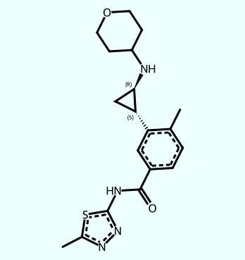 Cc1nnc(NC(=O)c2ccc(C)c([C@@H]3C[C@H]3NC3CCOCC3)c2)s1